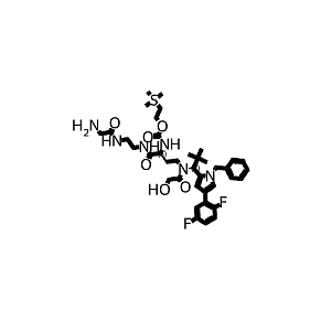 CC(C)(C)[C@H](c1cc(-c2cc(F)ccc2F)cn1Cc1ccccc1)N(CC[C@H](NC(=O)OCCS(C)(C)C)C(=O)NCCNC(=O)CN)C(=O)CO